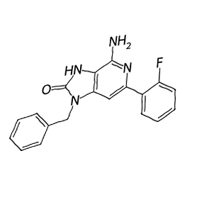 Nc1nc(-c2ccccc2F)cc2c1[nH]c(=O)n2Cc1ccccc1